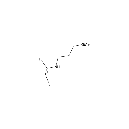 C/C=C(/F)NCCCSC